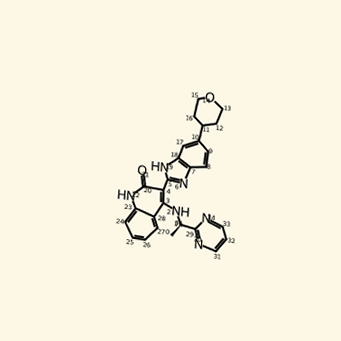 C[C@@H](Nc1c(-c2nc3ccc(C4CCOCC4)cc3[nH]2)c(=O)[nH]c2ccccc12)c1ncccn1